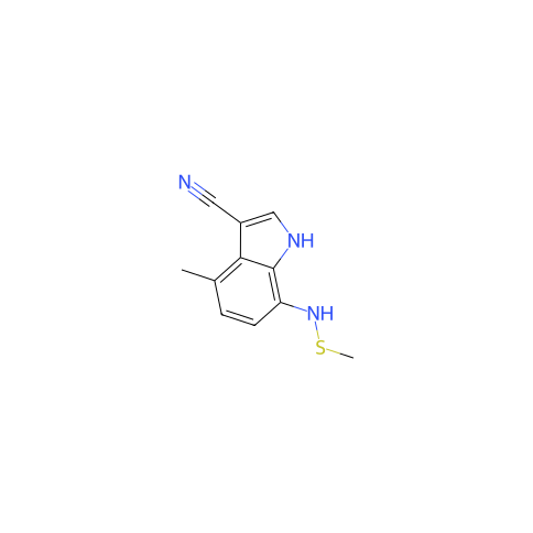 CSNc1ccc(C)c2c(C#N)c[nH]c12